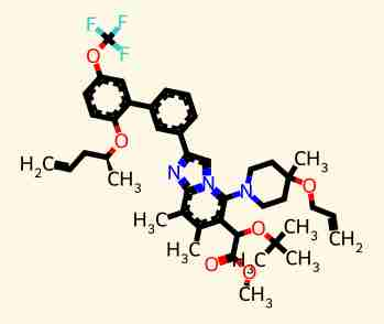 C=CCOC1(C)CCN(c2c(C(OC(C)(C)C)C(=O)OC)c(C)c(C)c3nc(-c4cccc(-c5cc(OC(F)(F)F)ccc5O[C@@H](C)CC=C)c4)cn23)CC1